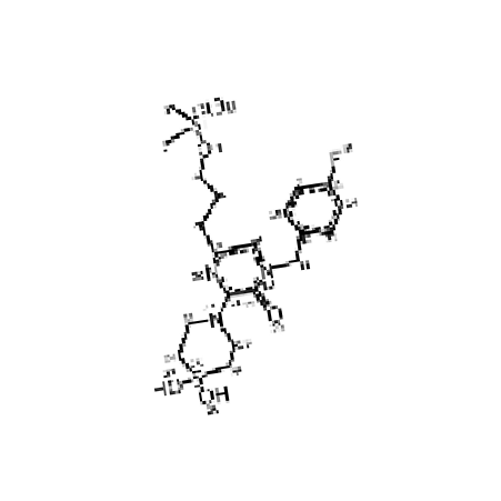 CC(C)(C)[Si](C)(C)OCCCc1cn(Cc2ccc(F)cc2)c(=O)c(N2CCS(O)(O)CC2)n1